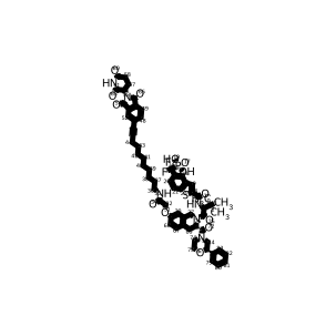 CC(C)(C)C(NC(=O)c1cc2cc(C(F)(F)P(=O)(O)O)ccc2s1)C(=O)N1Cc2cc(OCC(=O)NCCCCCCCCCC#Cc3ccc4c(c3)C(=O)N(C3CCC(=O)NC3=O)C4=O)ccc2C[C@H]1C(=O)N1CCO[C@H](c2ccccc2)C1